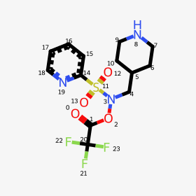 O=C(ON(CC1CCNCC1)S(=O)(=O)c1ccccn1)C(F)(F)F